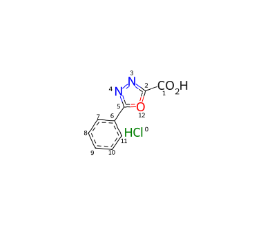 Cl.O=C(O)c1nnc(-c2ccccc2)o1